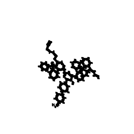 C#C/C=C\C=C/Cc1ccc(C2=NC(c3ccc(-c4ccc(N)cc4)cc3)N(C)C(c3ccc4c(c3)C(c3ccccc3)(c3ccccc3)C(/C=C\C=C)=C4)=C2)cc1C(C)(c1ccccc1)c1ccccc1